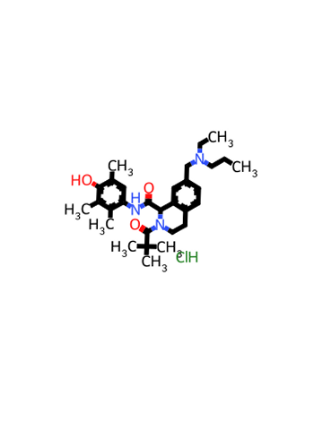 CCCN(CC)Cc1ccc2c(c1)C(C(=O)Nc1cc(C)c(O)c(C)c1C)N(C(=O)C(C)(C)C)CC2.Cl